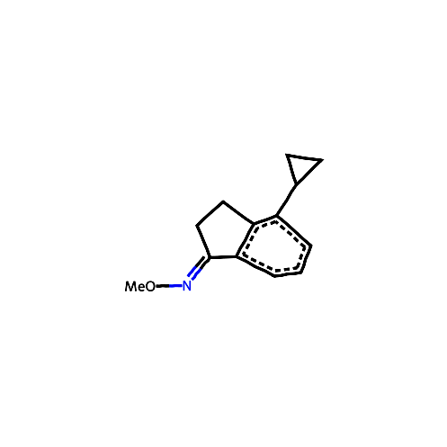 CO/N=C1\CCc2c1cccc2C1CC1